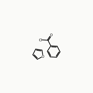 O=C(Cl)c1ccccc1.c1ccoc1